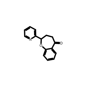 O=C1CCC(c2ccccn2)Oc2ccccc21